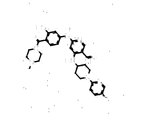 CN1CCN(C(=O)c2ccc(Nc3cc(NC4CCN(c5ccc(N)cn5)CC4)c(C(N)=O)cn3)cc2N)CC1